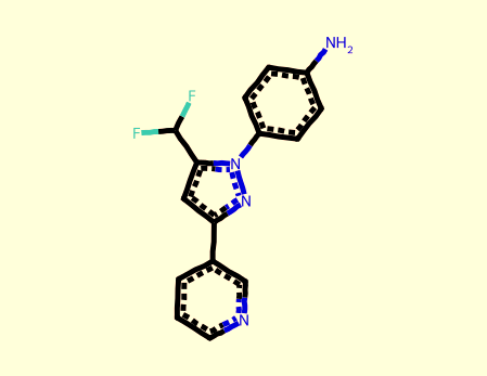 Nc1ccc(-n2nc(-c3cccnc3)cc2C(F)F)cc1